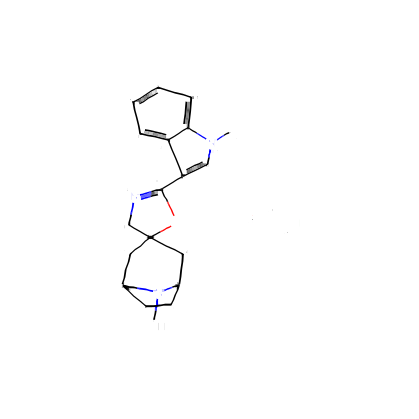 CN1C2CCC1CC1(CN=C(c3cn(C)c4ccccc34)O1)C2.Cl.Cl.O